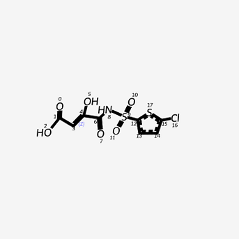 O=C(O)/C=C(\O)C(=O)NS(=O)(=O)c1ccc(Cl)s1